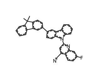 CC1(C)c2ccccc2-c2cc(-c3ccc4c(c3)c3ccccc3n4-c3cc(C#N)c4ccc(F)cc4n3)ccc21